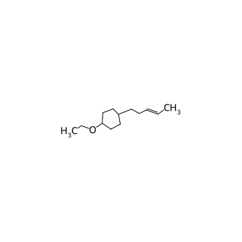 C/C=C/CCC1CCC(OCC)CC1